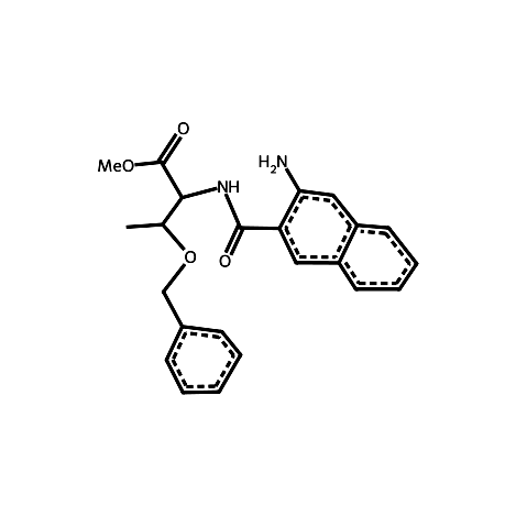 COC(=O)C(NC(=O)c1cc2ccccc2cc1N)C(C)OCc1ccccc1